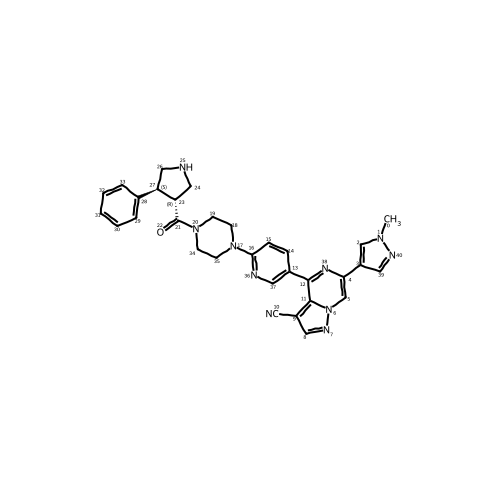 Cn1cc(-c2cn3ncc(C#N)c3c(-c3ccc(N4CCN(C(=O)[C@H]5CNC[C@@H]5c5ccccc5)CC4)nc3)n2)cn1